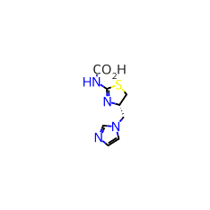 O=C(O)NC1=N[C@@H](Cn2ccnc2)CS1